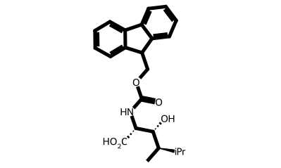 CC(C)[C@@H](C)[C@@H](O)[C@@H](NC(=O)OCC1c2ccccc2-c2ccccc21)C(=O)O